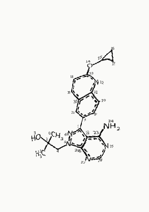 CC(C)(O)Cn1nc(-c2ccc3nc(OC4CC4)ccc3c2)c2c(N)ncnc21